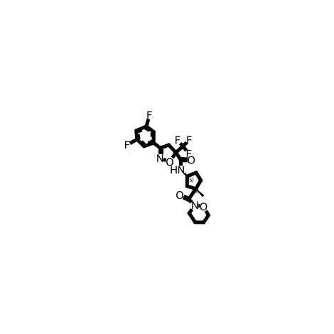 C[C@]1(C(=O)N2CCCCO2)CC[C@H](NC(=O)C2(C(F)(F)F)CC(c3cc(F)cc(F)c3)=NO2)C1